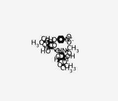 CC(=O)N[C@H]1[C@H](OC[C@H]2O[C@H](Oc3ccc([N+](=O)[O-])cc3)[C@H]3OC(C)(C)O[C@H]3[C@@H]2O)O[C@@H]2COC(C)(C)O[C@H]2[C@@H]1O